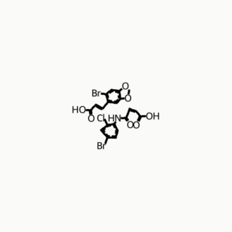 O=C(O)/C=C/c1cc2c(cc1Br)OCO2.O=C(O)/C=C\C(=O)Nc1ccc(Br)cc1Cl